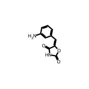 Nc1cccc(C=C2OC(=O)NC2=O)c1